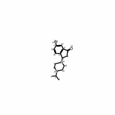 CC(C)N1CCN(C2CC(=O)c3cc(Br)ccc32)CC1